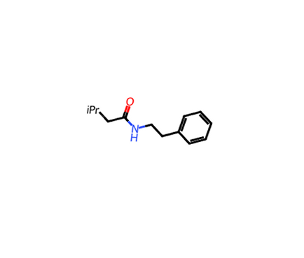 CC(C)CC(=O)NCCc1ccccc1